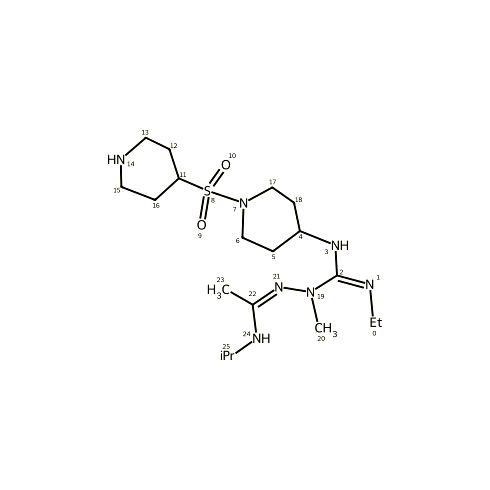 CC/N=C(/NC1CCN(S(=O)(=O)C2CCNCC2)CC1)N(C)N=C(C)NC(C)C